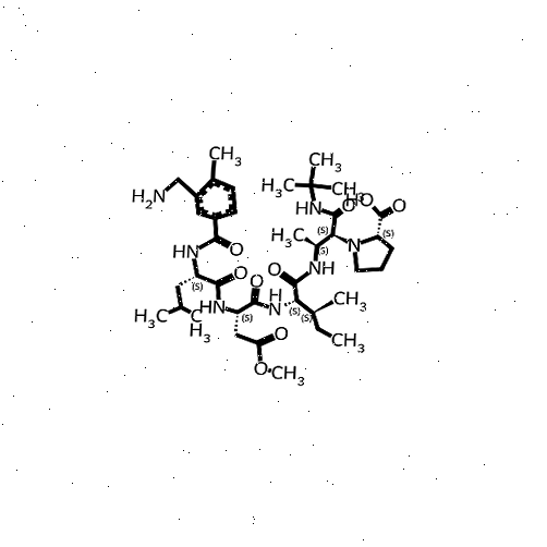 CC[C@H](C)[C@H](NC(=O)[C@H](CC(=O)OC)NC(=O)[C@H](CC(C)C)NC(=O)c1ccc(C)c(CN)c1)C(=O)N[C@@H](C)[C@@H](C(=O)NC(C)(C)C)N1CCC[C@H]1C(=O)O